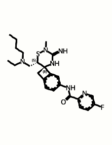 CCCCN(CC)C[C@@H]1SN(C)C(=N)N[C@@]12Cc1ccc(NC(=O)c3ccc(F)cn3)cc12